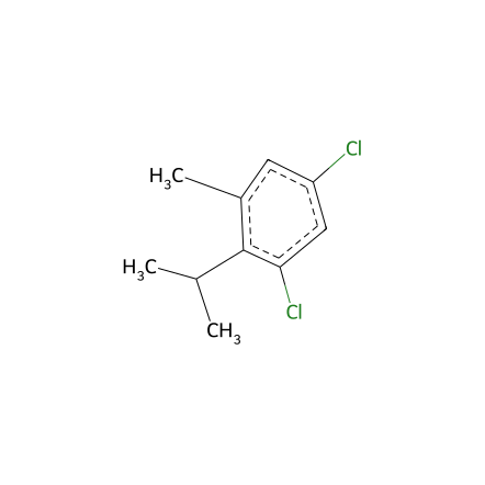 Cc1cc(Cl)cc(Cl)c1C(C)C